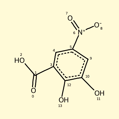 O=C(O)c1cc([N+](=O)[O-])cc(O)c1O